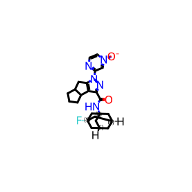 O=C(N[C@@]12C[C@@H]3C[C@@H](C[C@@](F)(C3)C1)C2)c1nn(-c2c[n+]([O-])ccn2)c2c1C1CCCC1C2